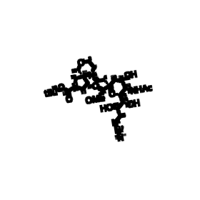 COC(=O)[C@@]1(CCN2CCOC[C@@]23CCN(C(=O)OC(C)(C)C)C3)C[C@H](O)[C@@H](NC(C)=O)[C@H]([C@H](O)[C@H](O)CN=[N+]=[N-])O1